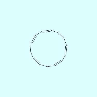 [C]1=CC=CCCC=CC=CCC=CC1